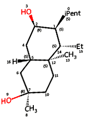 CCC[C@H](C)[C@@H]1[C@H](O)C[C@H]2C[C@](C)(O)CC[C@]2(C)[C@H]1CC